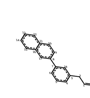 C=CCc1cccc(-c2ccc3ccccc3c2)c1